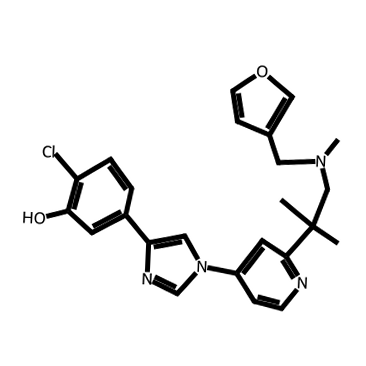 CN(Cc1ccoc1)CC(C)(C)c1cc(-n2cnc(-c3ccc(Cl)c(O)c3)c2)ccn1